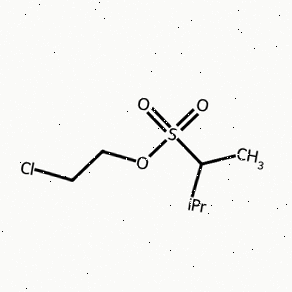 CC(C)C(C)S(=O)(=O)OCCCl